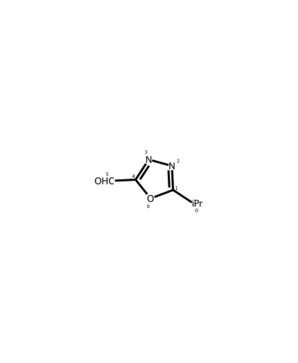 CC(C)c1nnc(C=O)o1